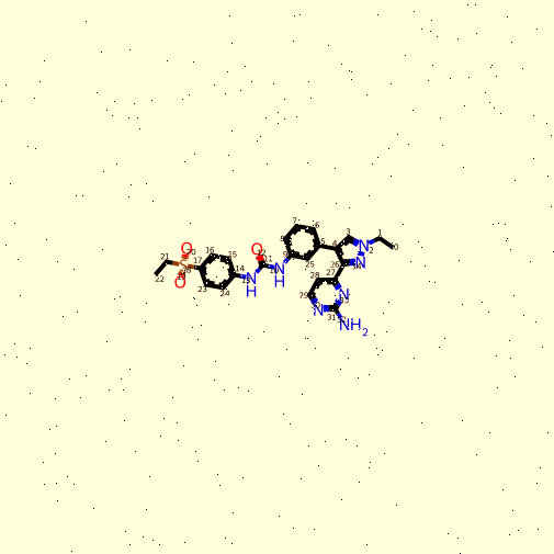 CCn1cc(-c2cccc(NC(=O)Nc3ccc(S(=O)(=O)CC)cc3)c2)c(-c2ccnc(N)n2)n1